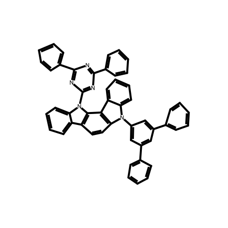 c1ccc(-c2cc(-c3ccccc3)cc(-n3c4ccccc4c4c3ccc3c5ccccc5n(-c5nc(-c6ccccc6)nc(-c6ccccc6)n5)c34)c2)cc1